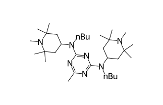 CCCCN(c1nc(C)nc(N(CCCC)C2CC(C)(C)N(C)C(C)(C)C2)n1)C1CC(C)(C)N(C)C(C)(C)C1